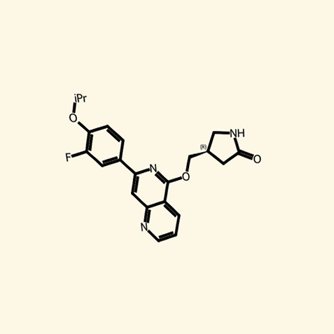 CC(C)Oc1ccc(-c2cc3ncccc3c(OC[C@H]3CNC(=O)C3)n2)cc1F